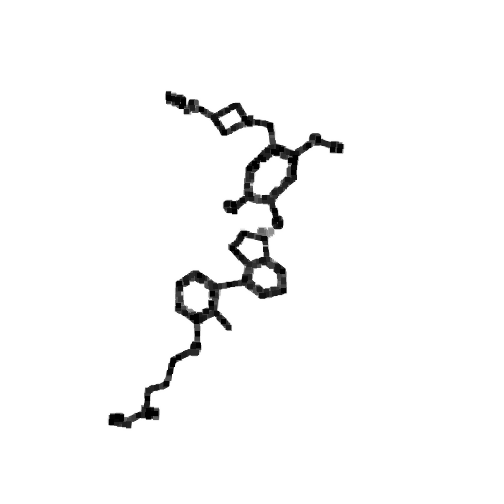 CCOc1cc(O[C@H]2CCc3c(-c4cccc(OCCCNC(C)(C)C)c4C)cccc32)c(Cl)cc1CN1CC(C(=O)O)C1